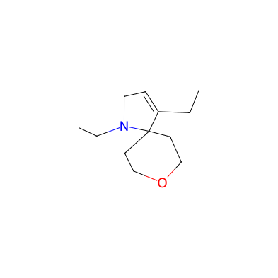 CCC1=CCN(CC)C12CCOCC2